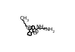 CCCCCCNCc1c2ccccc2c(Cl)c2c(C(=O)[C@@H](N)CCCCN)cccc12